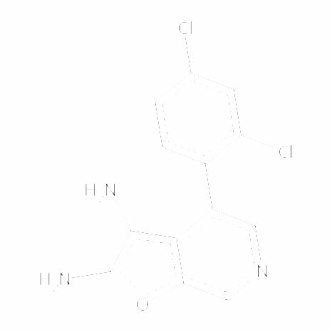 Nc1oc2cncc(-c3ccc(Cl)cc3Cl)c2c1N